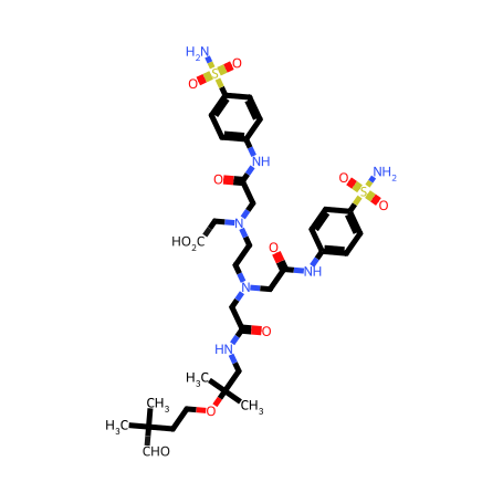 CC(C)(C=O)CCOC(C)(C)CNC(=O)CN(CCN(CC(=O)O)CC(=O)Nc1ccc(S(N)(=O)=O)cc1)CC(=O)Nc1ccc(S(N)(=O)=O)cc1